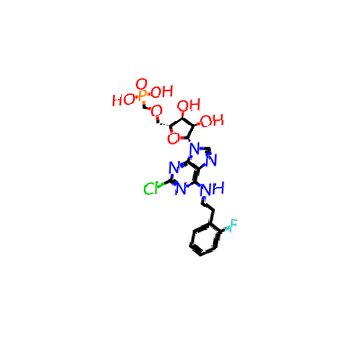 O=P(O)(O)COC[C@H]1O[C@@H](n2cnc3c(NCCc4ccccc4F)nc(Cl)nc32)[C@H](O)[C@@H]1O